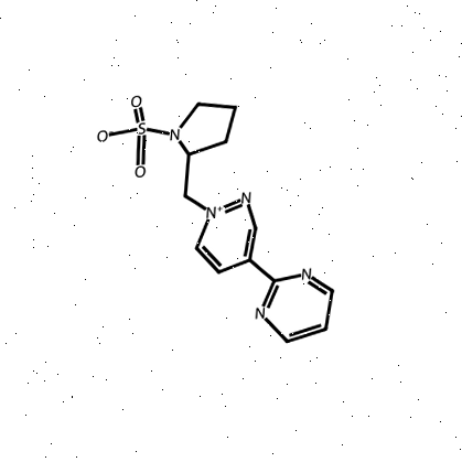 O=S(=O)([O-])N1CCCC1C[n+]1ccc(-c2ncccn2)cn1